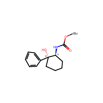 CC(C)(C)OC(=O)N[C@H]1CCCC[C@@]1(O)c1ccccc1